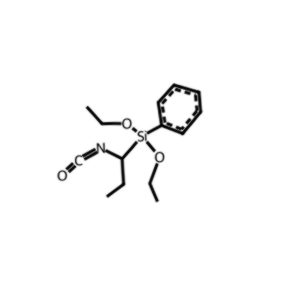 CCO[Si](OCC)(c1ccccc1)C(CC)N=C=O